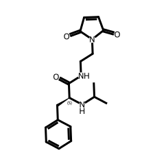 CC(C)N[C@@H](Cc1ccccc1)C(=O)NCCN1C(=O)C=CC1=O